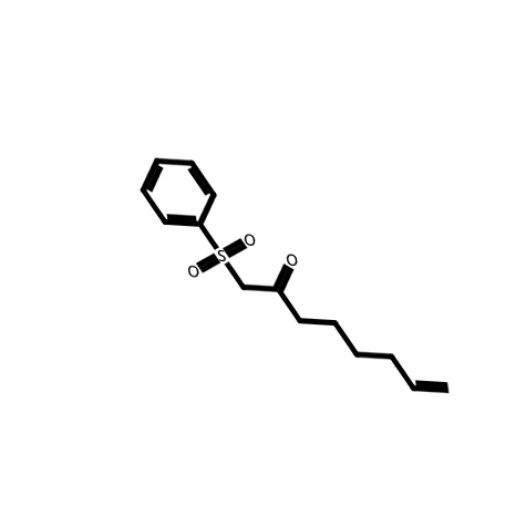 C=CCCCCC(=O)CS(=O)(=O)c1ccccc1